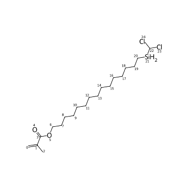 C=C(C)C(=O)OCCCCCCCCCCCCCCC[SiH2]C(Cl)Cl